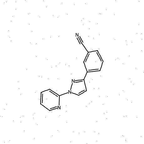 N#Cc1cccc(-c2ccn(-c3ccccn3)n2)c1